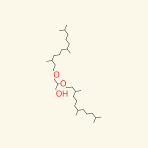 CC(C)CCCC(C)CCCC(C)CCOCC(CO)OCCC(C)CCCC(C)CCCC(C)C